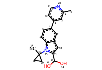 Cc1cc(-c2ccc3c(c2)cc(C(O)O)n3C2(C#N)CC2)ccn1